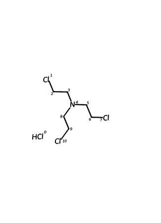 Cl.ClCCN(CCCl)CCCl